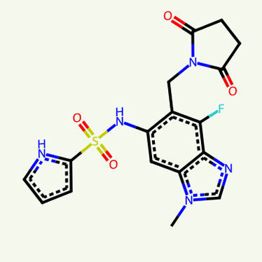 Cn1cnc2c(F)c(CN3C(=O)CCC3=O)c(NS(=O)(=O)c3ccc[nH]3)cc21